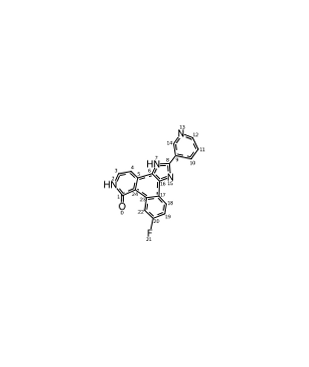 O=c1[nH]ccc2c3[nH]c(-c4cccnc4)nc3c3ccc(F)cc3c12